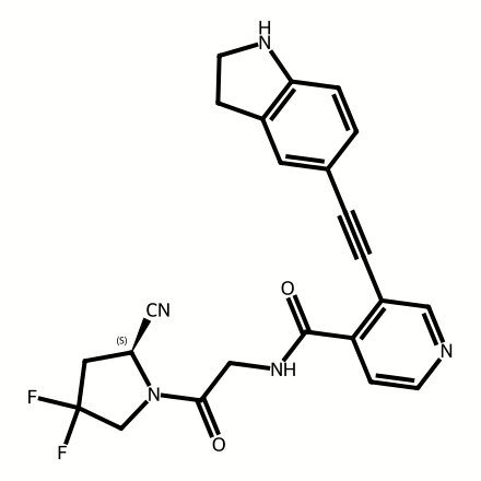 N#C[C@@H]1CC(F)(F)CN1C(=O)CNC(=O)c1ccncc1C#Cc1ccc2c(c1)CCN2